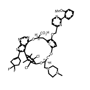 COc1ccccc1-c1nccc(COc2ccc3cc2C[C@H](C(=O)O)Oc2ncnc4sc(C5=CCC(F)(F)CC5)c(c24)-c2c(C)c(Cl)c(c(Cl)c2C)O[C@H](CN2CCN(C)CC2)CO3)n1